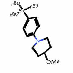 CCC[CH2][Sn]([CH2]CCC)([CH2]CCC)[c]1ccc(N2CCC(OC)CC2)cc1